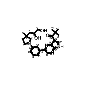 CC1(CC(O)CO)CCN(c2cccc(-c3cnc4[nH]cc(C(=O)C(C)(C)C)c4n3)c2)C1